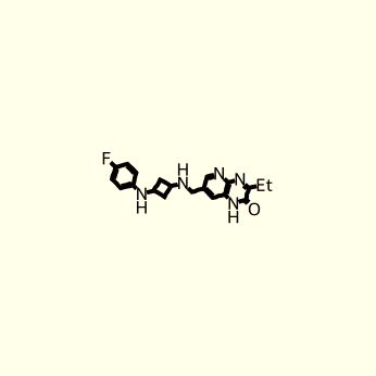 CCc1nc2ncc(CNC3CC(Nc4ccc(F)cc4)C3)cc2[nH]c1=O